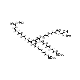 CCCCCCCCCCCCCCCCCCOCC(CCCCCCCC/C=C\C[C@H](O)CCCCCC)OC(=O)OC(CCCCCCCC/C=C\C[C@H](O)CCCCCC)COCCCCCCCCCCCCCCCCCC